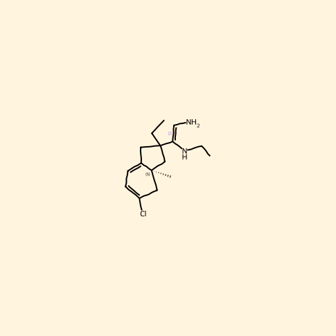 CCN/C(=C\N)C1(CC)CC2=CC=C(Cl)C[C@]2(C)C1